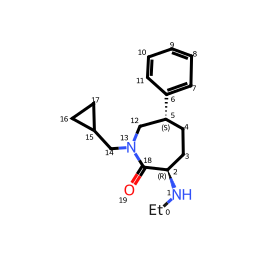 CCN[C@@H]1CC[C@@H](c2ccccc2)CN(CC2CC2)C1=O